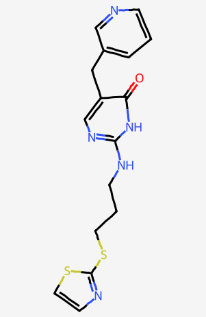 O=c1[nH]c(NCCCSc2nccs2)ncc1Cc1cccnc1